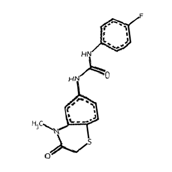 CN1C(=O)CSc2ccc(NC(=O)Nc3ccc(F)cc3)cc21